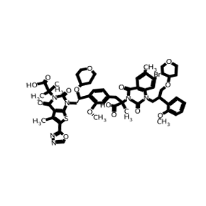 COc1ccccc1C(COC1CCOCC1)Cn1c(=O)n(C(C)(Cc2ccc([C@H](Cn3c(=O)n(C(C)(C)C(=O)O)c(=O)c4c(C)c(-c5nnco5)sc43)OC3CCOCC3)c(OC)c2)C(=O)O)c(=O)c2cc(C)c(Br)cc21